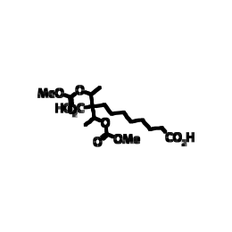 COC(=O)OC(C)C(CCCCCCCC(=O)O)(C(=O)O)C(C)OC(=O)OC